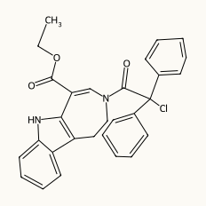 CCOC(=O)C1=CN(C(=O)C(Cl)(c2ccccc2)c2ccccc2)CCc2c1[nH]c1ccccc21